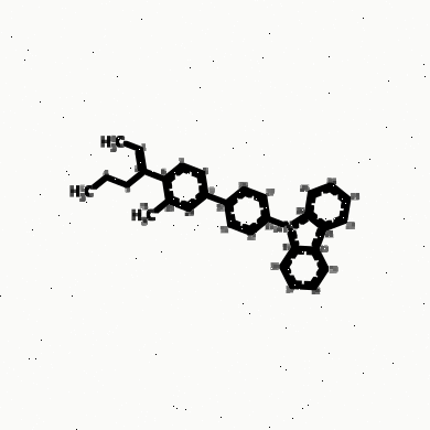 C/C=C(\CCC)c1ccc(-c2ccc(-n3c4ccccc4c4ccccc43)cc2)cc1C